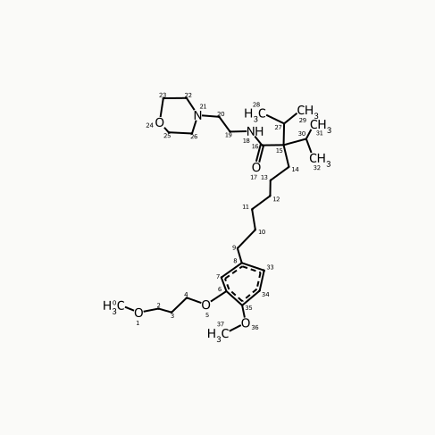 COCCCOc1cc(CCCCCCC(C(=O)NCCN2CCOCC2)(C(C)C)C(C)C)ccc1OC